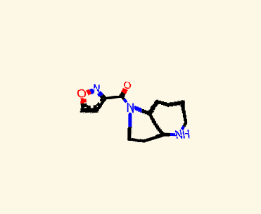 O=C(c1ccon1)N1CCC2NCCCC21